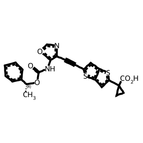 C[C@@H](OC(=O)Nc1ocnc1C#Cc1cc2sc(C3(C(=O)O)CC3)cc2s1)c1ccccc1